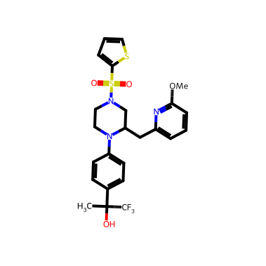 COc1cccc(CC2CN(S(=O)(=O)c3cccs3)CCN2c2ccc(C(C)(O)C(F)(F)F)cc2)n1